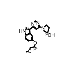 COC[C@H](C)Oc1ccc2[nH]nc(-c3cc(N4CC[C@H](O)C4)ncn3)c2c1